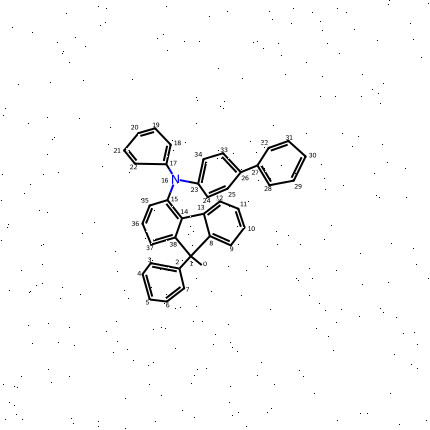 CC1(c2ccccc2)c2ccccc2-c2c(N(c3ccccc3)c3ccc(-c4ccccc4)cc3)cccc21